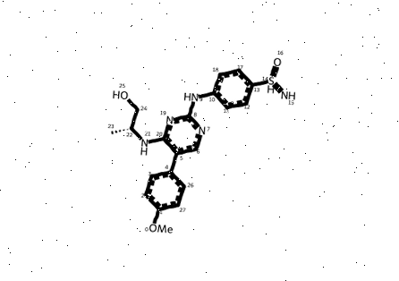 COc1ccc(-c2cnc(Nc3ccc([SH](=N)=O)cc3)nc2N[C@H](C)CO)cc1